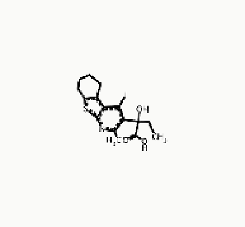 CCC(O)(C(=O)O)c1c(C)nc2sc3c(c2c1I)CCCC3